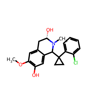 COc1cc2c(cc1O)C(C1(c3ccccc3Cl)CC1)N(C)[C@@H](O)C2